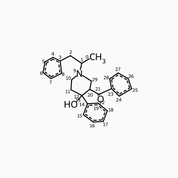 CC(Cc1ccccc1)N1CCC(O)(c2ccccc2)C(C(=O)c2ccccc2)C1